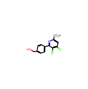 O=C(O)c1cc(Cl)c(Cl)c(-c2ccc(CO)cc2)n1